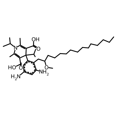 CCCCCCCCCCCCCC(Cc1c(N)cc(N)cc1C1(C(C)C)C(C(=O)O)=C(C)N(C(C)C)C(C)=C1C(=O)O)OC